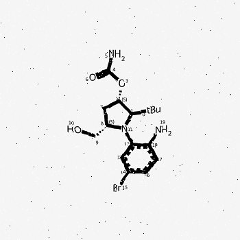 CC(C)(C)C1[C@@H](OC(N)=O)C[C@@H](CO)N1c1cc(Br)ccc1N